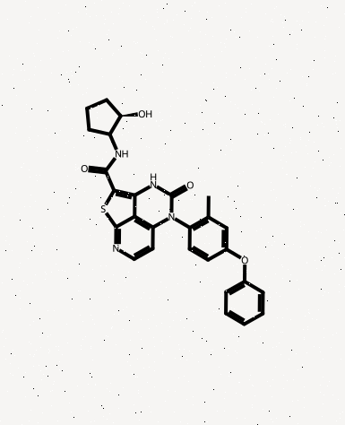 Cc1cc(Oc2ccccc2)ccc1N1C(=O)Nc2c(C(=O)NC3CCC[C@H]3O)sc3nccc1c23